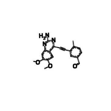 COc1cc2nc(N)nc(C#Cc3cc(C=O)ccc3C)c2cc1OC